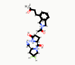 CC(=O)CCc1cccc2c1CN(C(=O)C[C@@H]1C[C@@H](C(=O)N3CC(F)(F)C[C@H]3C#N)NC1=O)C2